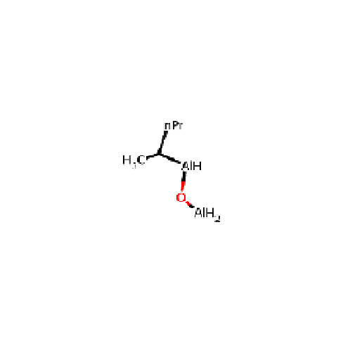 CCC[CH](C)[AlH][O][AlH2]